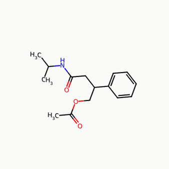 CC(=O)OCC(CC(=O)NC(C)C)c1ccccc1